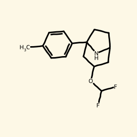 Cc1ccc(C23CCC(CC(OC(F)F)C2)N3)cc1